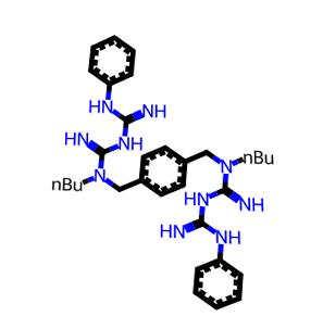 CCCCN(Cc1ccc(CN(CCCC)C(=N)NC(=N)Nc2ccccc2)cc1)C(=N)NC(=N)Nc1ccccc1